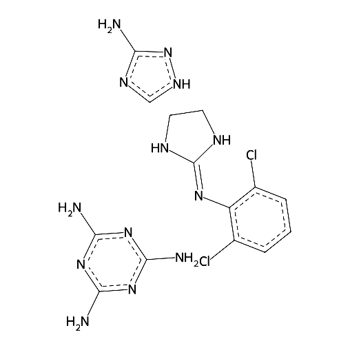 Clc1cccc(Cl)c1N=C1NCCN1.Nc1nc(N)nc(N)n1.Nc1nc[nH]n1